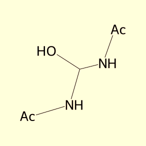 CC(=O)NC(O)NC(C)=O